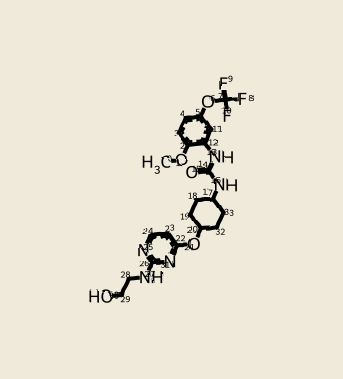 COc1ccc(OC(F)(F)F)cc1NC(=O)NC1CCC(Oc2ccnc(NCCO)n2)CC1